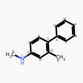 CNc1ccc(-c2ccccc2)c(C)c1